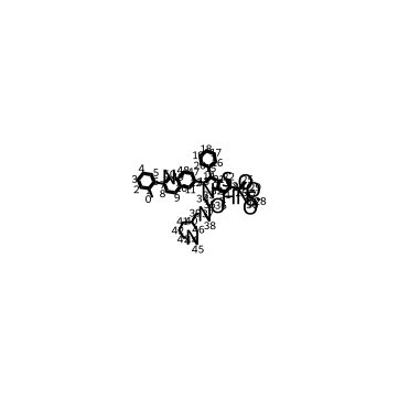 Cc1ccccc1-c1ccc2cc(-c3c(-c4ccccc4)c4sc(C(=O)NS(C)(=O)=O)cc4n3CC(=O)N(C)CC3CCCN(C)C3)ccc2n1